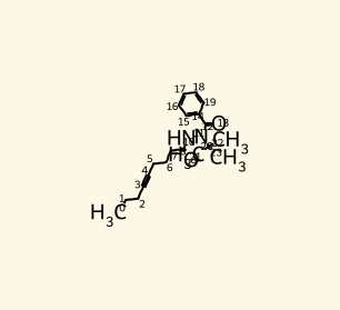 CCCC#CCCCC(=O)NN(C(=O)c1ccccc1)C(C)(C)C